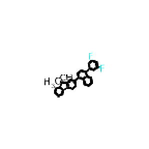 CC1(C)c2ccccc2-c2ccc(-c3ccc(-c4cc(F)cc(F)c4)c4ccccc34)cc21